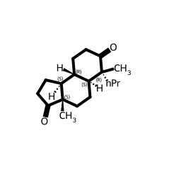 CCC[C@@]1(C)C(=O)CC[C@@H]2[C@@H]1CC[C@]1(C)C(=O)CC[C@@H]21